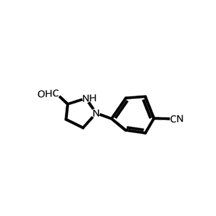 N#Cc1ccc(N2CCC(C=O)N2)cc1